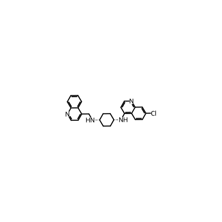 Clc1ccc2c(N[C@H]3CC[C@@H](NCc4ccnc5ccccc45)CC3)ccnc2c1